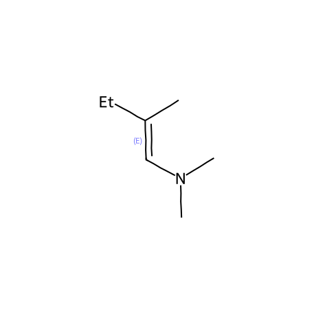 CC/C(C)=C/N(C)C